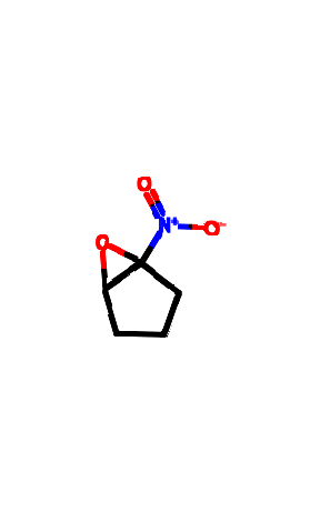 O=[N+]([O-])C12CCCC1O2